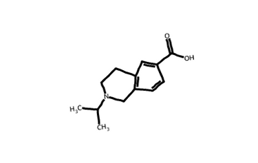 CC(C)N1CCc2cc(C(=O)O)ccc2C1